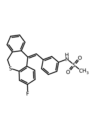 CS(=O)(=O)Nc1cccc(/C=C2/c3ccccc3CSc3cc(F)ccc32)c1